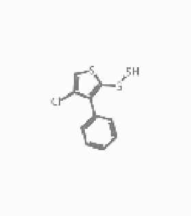 SSc1scc(Cl)c1-c1ccccc1